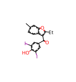 CCc1oc2cc(C)ccc2c1C(=O)c1cc(I)c(O)c(I)c1